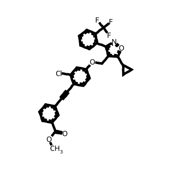 COC(=O)c1cccc(C#Cc2ccc(OCc3c(-c4ccccc4C(F)(F)F)noc3C3CC3)cc2Cl)c1